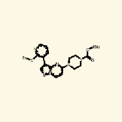 CCOc1ncccc1-c1cnn2ccc(N3CCN(C(=O)OC(C)(C)C)CC3)nc12